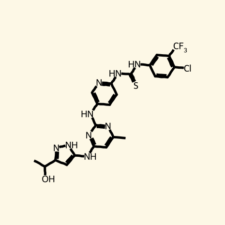 Cc1cc(Nc2cc(C(C)O)n[nH]2)nc(Nc2ccc(NC(=S)Nc3ccc(Cl)c(C(F)(F)F)c3)nc2)n1